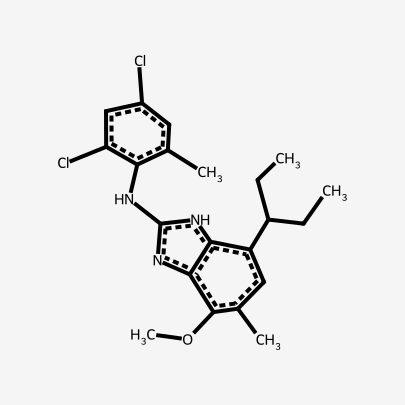 CCC(CC)c1cc(C)c(OC)c2nc(Nc3c(C)cc(Cl)cc3Cl)[nH]c12